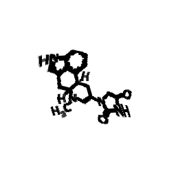 CN1CC(N2CC(=O)NC2=O)C[C@@H]2c3cccc4[nH]cc(c34)C[C@H]21